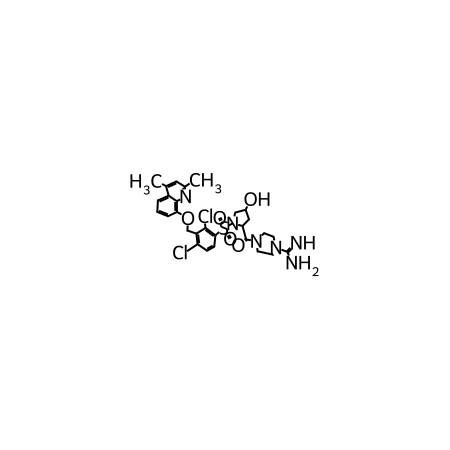 Cc1cc(C)c2cccc(OCc3c(Cl)ccc(S(=O)(=O)N4CC(O)CC4C(=O)N4CCN(C(=N)N)CC4)c3Cl)c2n1